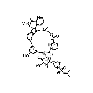 CCn1c(-c2cccnc2[C@H](C)OC)c2c3cc(ccc31)-c1cc(O)cc(c1)C[C@H](NC(=O)C(C(C)C)N(C)C(=O)[C@H]1CCN(S(=O)(=O)C=C(C)C)C1)C(=O)N1CCC[C@H](N1)C(=O)OCC(C)(C)C2